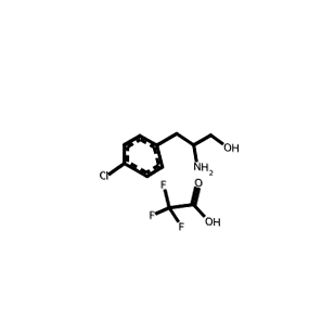 NC(CO)Cc1ccc(Cl)cc1.O=C(O)C(F)(F)F